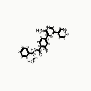 Nc1ncc(-c2ccnnc2)nc1-c1ccc(C(=O)N[C@H](CO)c2ccccc2)c(F)c1